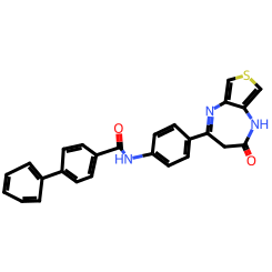 O=C1CC(c2ccc(NC(=O)c3ccc(-c4ccccc4)cc3)cc2)=Nc2cscc2N1